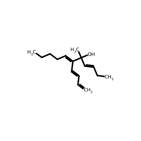 C=CC=C/C(=[C]\CCCC)C(C)(O)C=CCC